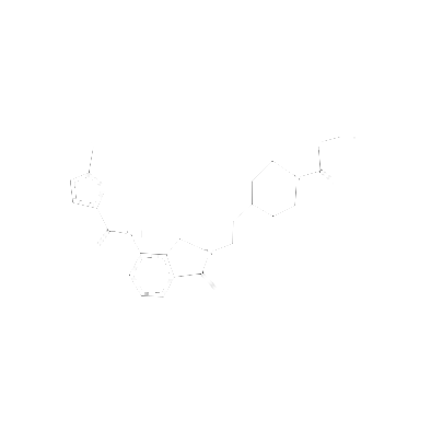 CC(C)(C)OC(=O)N1CCC(CCN2Cc3c(NC(=O)c4ccc(Cl)s4)cccc3C2=O)CC1